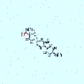 CCCCC(=O)c1ccc(-c2ccc(-c3ccc(CCC)cc3)c(F)c2)cc1